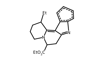 CCOC(=O)C1CC2=Nc3ccccc3C2=C2C(CC)CCCN21